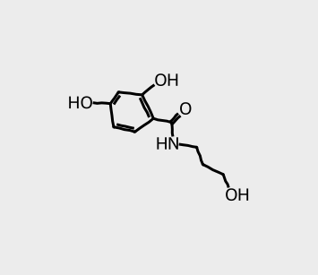 O=C(NCCCO)c1ccc(O)cc1O